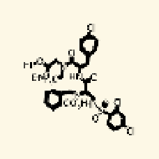 CCOC(CN(CC(F)(F)F)C(=O)C(Cc1ccc(Cl)cc1)NC(=O)C(CNS(=O)(=O)c1ccc(Cl)cc1Cl)N(Cc1ccccc1)C(=O)O)OCC